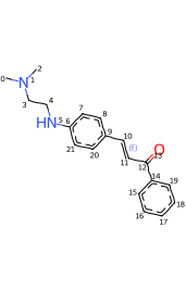 CN(C)CCNc1ccc(/C=C/C(=O)c2ccccc2)cc1